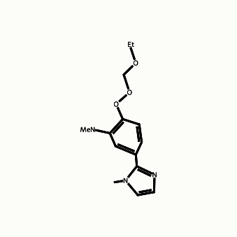 CCOCOOc1ccc(-c2nccn2C)cc1NC